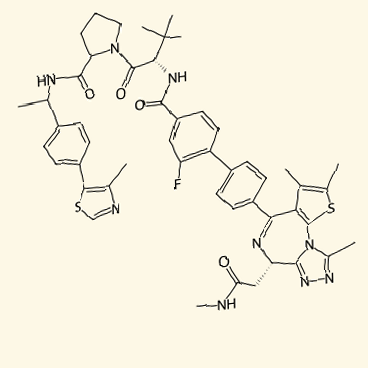 CNC(=O)C[C@@H]1N=C(c2ccc(-c3ccc(C(=O)N[C@H](C(=O)N4CCCC4C(=O)NC(C)c4ccc(-c5scnc5C)cc4)C(C)(C)C)cc3F)cc2)c2c(sc(C)c2C)-n2c(C)nnc21